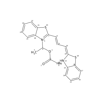 CCCCC(=O)OC(C)[n+]1c(C=CC=C2Nc3ccccc3S2)sc2ccccc21